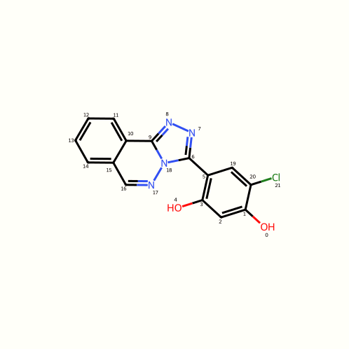 Oc1cc(O)c(-c2nnc3c4ccccc4cnn23)cc1Cl